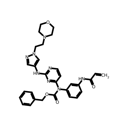 C=CC(=O)Nc1cccc(N(C(=O)OCc2ccccc2)c2ccnc(Nc3cnn(CCN4CCOCC4)c3)n2)c1